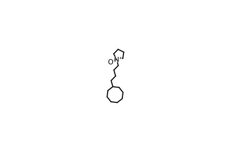 [O-][N+]1(CCCCC2CCCCCCC2)CCCC1